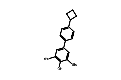 CC(C)(C)c1cc(-c2ccc(C3CCC3)cc2)cc(C(C)(C)C)c1O